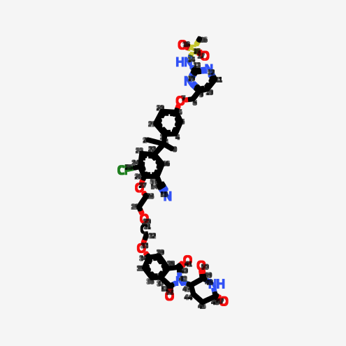 CC(C)(c1ccc(OCc2ccnc(NS(C)(=O)=O)n2)cc1)c1cc(Cl)c(OCCOCCOc2ccc3c(c2)C(=O)N(C2CCC(=O)NC2=O)C3=O)c(C#N)c1